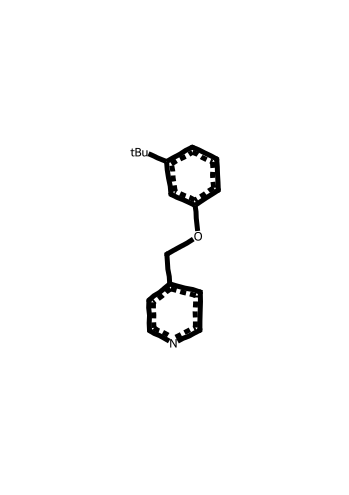 CC(C)(C)c1cccc(OCc2ccncc2)c1